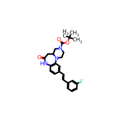 CC(C)(C)OC(=O)N1CCN2c3cc(/C=C/c4cccc(F)c4)ccc3NC(=O)CC2C1